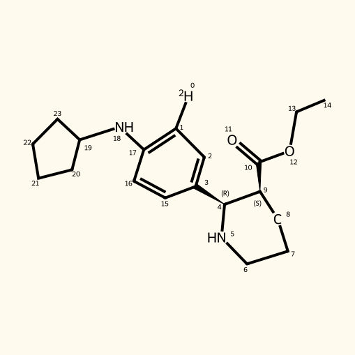 [2H]c1cc([C@@H]2NCCC[C@@H]2C(=O)OCC)ccc1NC1CCCC1